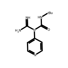 CC(C)(C)NC(=O)N(C(=N)N)c1ccncc1